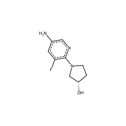 Nc1cnc(N2CC[C@H](O)C2)c(F)c1